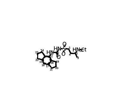 CCNC(C)CCS(=O)(=O)NC(=O)Nc1c2c(cc3c1CCC3)CCC2